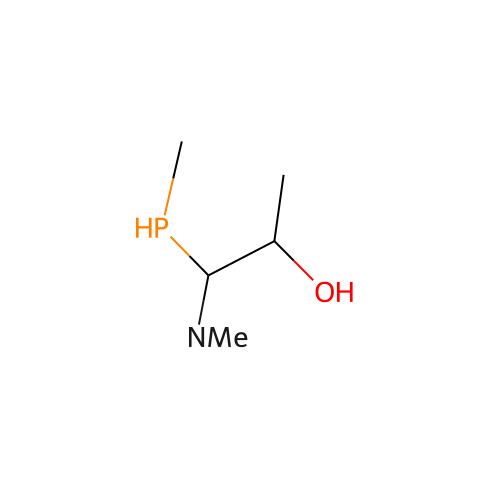 CNC(PC)C(C)O